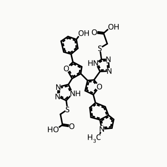 Cn1ccc2cc(-c3cc(-c4cc(-c5cccc(O)c5)oc4-c4nnc(SCC(=O)O)[nH]4)c(-c4nnc(SCC(=O)O)[nH]4)o3)ccc21